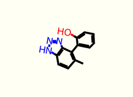 Cc1ccc2[nH]nnc2c1-c1ccccc1O